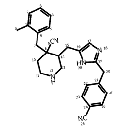 Cc1ccccc1CC1(C#N)CCNCC1Cc1cnc(Cc2ccc(C#N)cc2)[nH]1